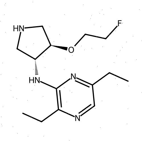 CCc1cnc(CC)c(N[C@@H]2CNC[C@H]2OCCF)n1